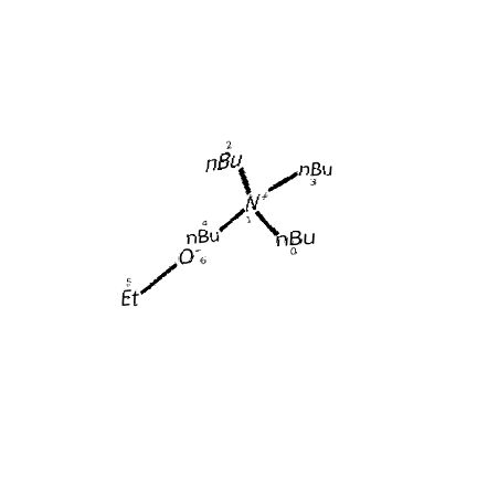 CCCC[N+](CCCC)(CCCC)CCCC.CC[O-]